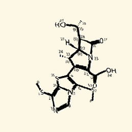 CSc1ncn2c(SC)c(C3=C(C(=O)O)N4C(=O)[C@H]([C@@H](C)O)[C@H]4[C@H]3C)sc12